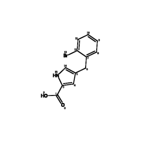 O=C(O)c1cc(Cc2ccccc2Br)c[nH]1